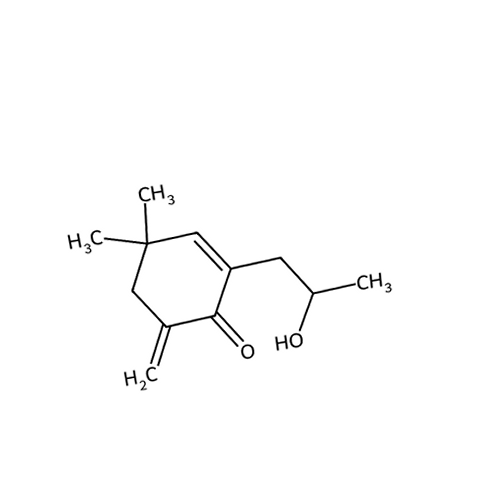 C=C1CC(C)(C)C=C(CC(C)O)C1=O